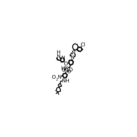 CC1(C)CCC2(CC1)CC(CNc1ccc(S(=O)(=O)NC(=O)c3ccc(N4CCN([C@@H]5CCCCc6c(Cl)cccc65)CC4)cc3Oc3cnc4[nH]ccc4c3)cc1[N+](=O)[O-])C2